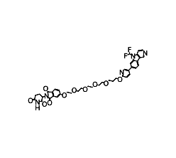 O=C1CCC(N2C(=O)c3ccc(OCCOCCOCCOCCOCCCOc4ccc(-c5ccc6c7cnccc7n(C(F)F)c6c5)cn4)cc3C2=O)C(=O)N1